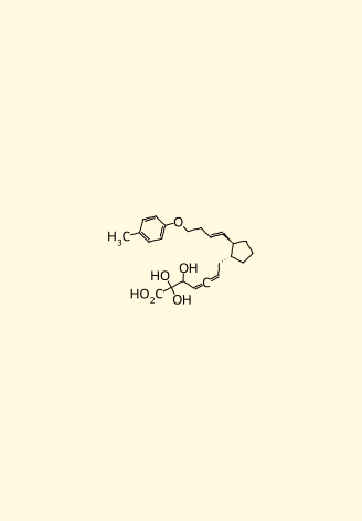 Cc1ccc(OCC/C=C/[C@H]2CCC[C@@H]2CC=C=CC(O)C(O)(O)C(=O)O)cc1